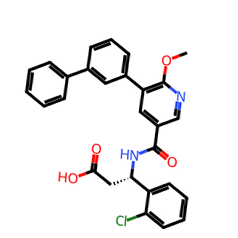 COc1ncc(C(=O)N[C@@H](CC(=O)O)c2ccccc2Cl)cc1-c1cccc(-c2ccccc2)c1